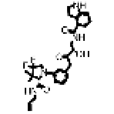 C=CCNC(=O)[C@H]1N(c2cccc(CC(=O)[C@@H](O)CNC(=O)c3cccc4c3CCN4)c2)CC(F)(F)C1(C)C